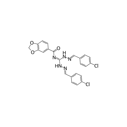 O=C(N=C(NN=Cc1ccc(Cl)cc1)NN=Cc1ccc(Cl)cc1)c1ccc2c(c1)OCO2